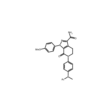 COc1ccc(-n2nc(C(N)=O)c3c2C(=O)N(c2ccc(N(C)C(C)=O)cc2)CC3)cc1